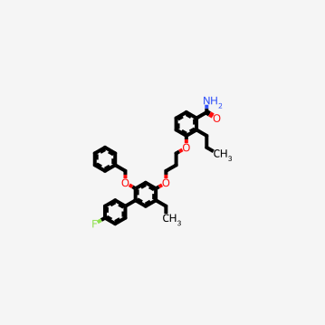 CCCc1c(OCCCOc2cc(OCc3ccccc3)c(-c3ccc(F)cc3)cc2CC)cccc1C(N)=O